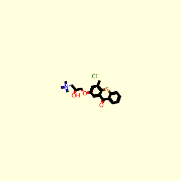 Cc1cc(OCC(O)C[N+](C)(C)C)cc2c(=O)c3ccccc3sc12.[Cl-]